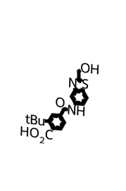 CC(C)(C)c1cc(C(=O)Nc2ccc3sc(CO)nc3c2)ccc1C(=O)O